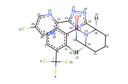 O=C(c1cccc(C(F)(F)F)c1Cl)N1[C@H]2CCC[C@@H]1c1nnc(-c3ncc(F)cn3)n1C2